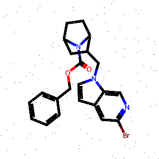 O=C(OCc1ccccc1)N1C2CCC1C(Cn1ccc3cc(Br)ncc31)C2